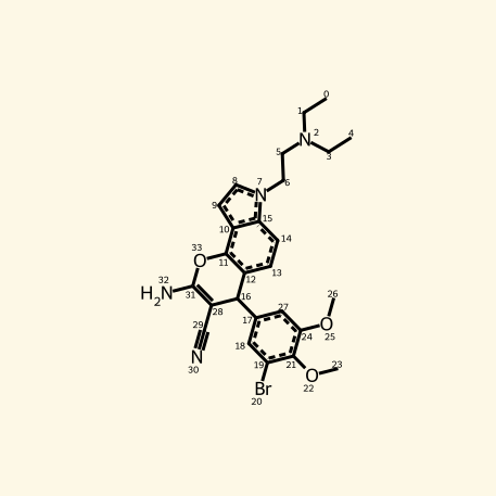 CCN(CC)CCn1ccc2c3c(ccc21)C(c1cc(Br)c(OC)c(OC)c1)C(C#N)=C(N)O3